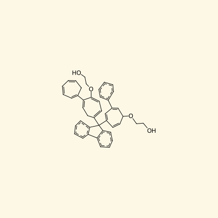 OCCOC1=CC=C(C2(C3=CC(c4ccccc4)=CC(OCCO)C=C3)c3ccccc3-c3ccccc32)CC=C1C1=CC=CC=CC1